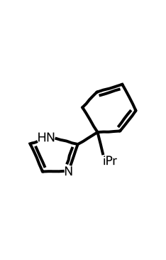 CC(C)C1(c2ncc[nH]2)C=CC=CC1